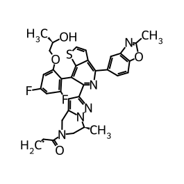 C=CC(=O)N1Cc2cc(-c3nc(-c4ccc5oc(C)nc5c4)c4ccsc4c3-c3c(F)cc(F)cc3OC[C@@H](C)O)nn2[C@@H](C)C1